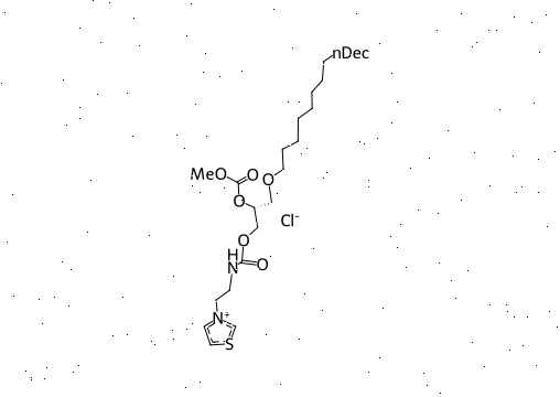 CCCCCCCCCCCCCCCCCCOC[C@H](COC(=O)NCC[n+]1ccsc1)OC(=O)OC.[Cl-]